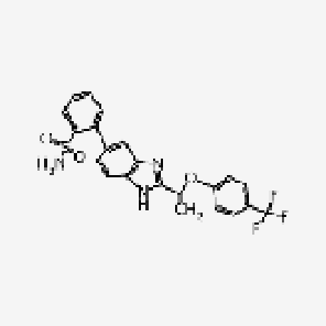 CC(Oc1ccc(C(F)(F)F)cc1)c1nc2cc(-c3ccccc3S(N)(=O)=O)ccc2[nH]1